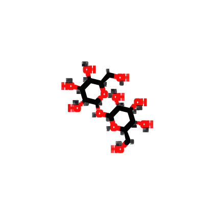 OC[C@H]1O[C@H](OC2O[C@H](CO)[C@@H](O)[C@H](O)[C@H]2O)[C@H](O)[C@@H](O)[C@H]1O